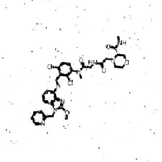 CNC(=O)[C@@H]1COCCN1CC(=O)NCC(=O)N(C)c1ccc(Cl)c(COc2cccc3c2nc(OC)n3Cc2ccccn2)c1Cl